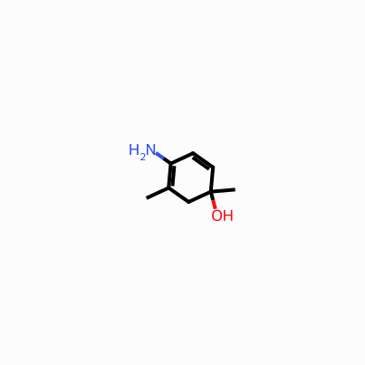 CC1=C(N)C=CC(C)(O)C1